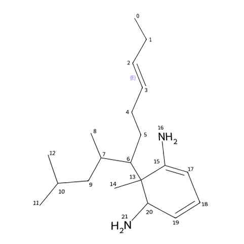 CC/C=C/CCC(C(C)CC(C)C)C1(C)C(N)=CC=CC1N